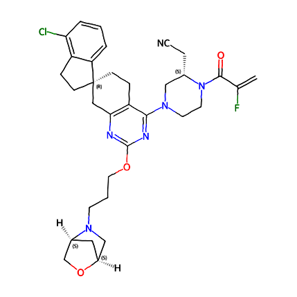 C=C(F)C(=O)N1CCN(c2nc(OCCCN3C[C@@H]4C[C@H]3CO4)nc3c2CC[C@@]2(CCc4c(Cl)cccc42)C3)C[C@@H]1CC#N